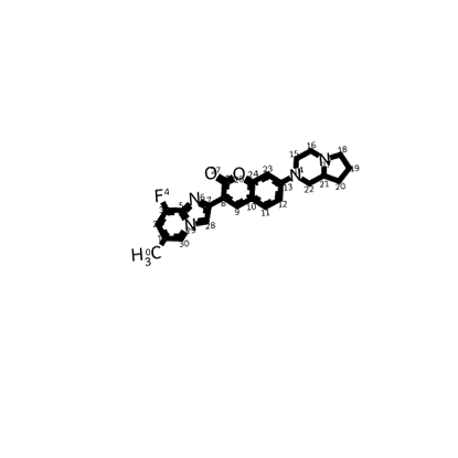 Cc1cc(F)c2nc(-c3cc4ccc(N5CCN6CCCC6C5)cc4oc3=O)cn2c1